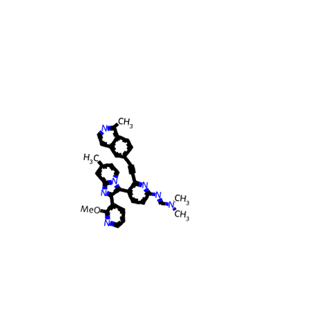 COc1ncccc1-c1nc2cc(C)ccn2c1-c1ccc(/N=C/N(C)C)nc1C#Cc1ccc2c(C)nccc2c1